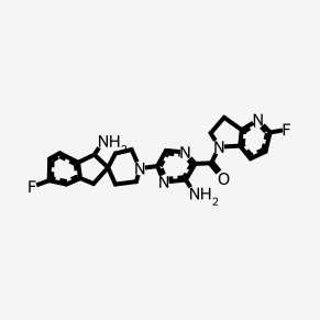 Nc1nc(N2CCC3(CC2)Cc2cc(F)ccc2C3N)cnc1C(=O)N1CCc2nc(F)ccc21